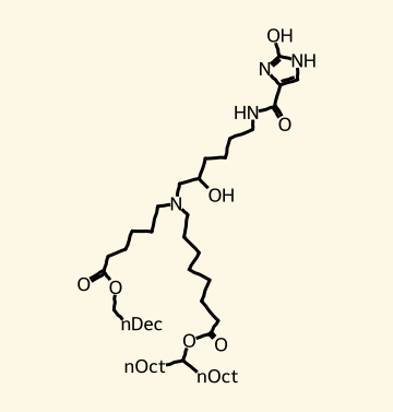 CCCCCCCCCCCOC(=O)CCCCCN(CCCCCCCC(=O)OC(CCCCCCCC)CCCCCCCC)CC(O)CCCCNC(=O)c1c[nH]c(O)n1